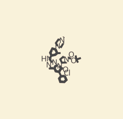 Cc1cc(Nc2ncc3cc(-c4ccccc4Cl)c(=O)n([C@H]4CCN(C(=O)OC(C)(C)C)C4)c3n2)ccc1N1CCN(C)CC1